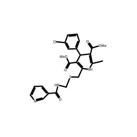 COC(=O)C1=C(C)NC(CSCNC(=O)c2cccnc2)=C(C(=O)OC)C1c1cccc(Cl)c1